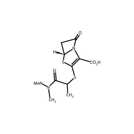 CNN(C)C(=O)C(C)SC1=C(C(=O)O)N2C(=O)C[C@H]2S1